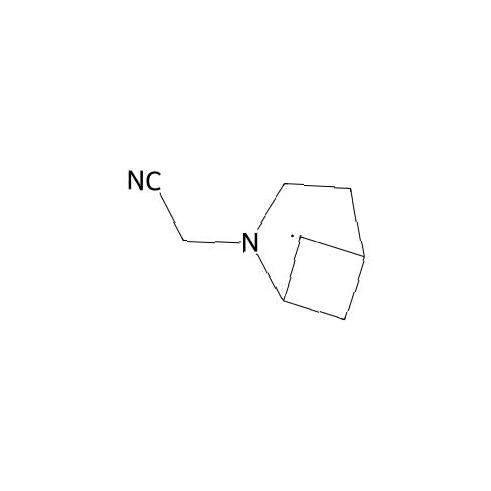 N#CCN1CCC2[CH]C1C2